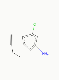 C#CCC.Nc1cccc(Cl)c1